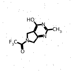 Cc1nc(O)c2c(n1)CN(C(=O)C(F)(F)F)C2